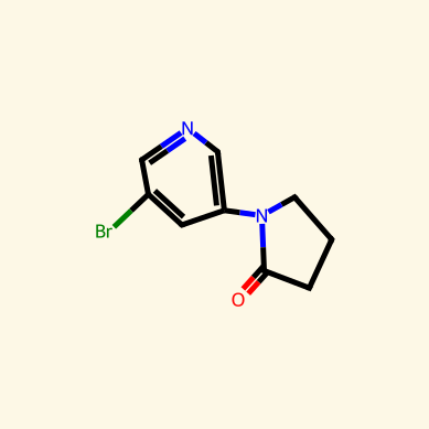 O=C1CCCN1c1cncc(Br)c1